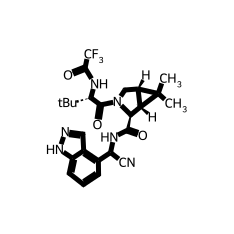 CC(C)(C)[C@H](NC(=O)C(F)(F)F)C(=O)N1C[C@H]2[C@@H]([C@H]1C(=O)NC(C#N)c1cccc3[nH]ncc13)C2(C)C